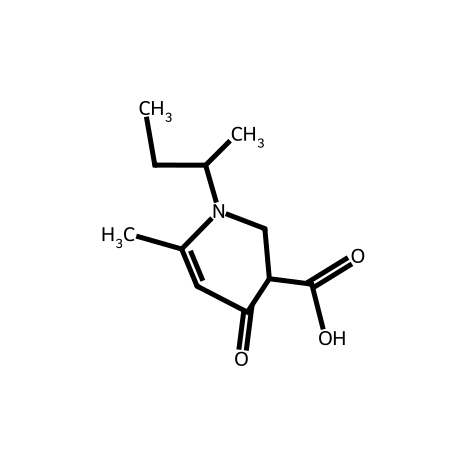 CCC(C)N1CC(C(=O)O)C(=O)C=C1C